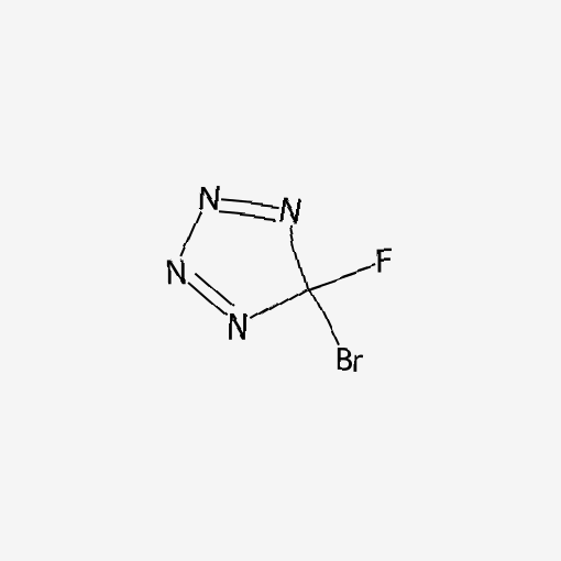 FC1(Br)N=NN=N1